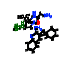 Cl.Cl.Cl.NCC(=O)N[C@@]1(C(=O)O)CCCN1.Nc1nc2ccccc2cc1Cc1ccccc1